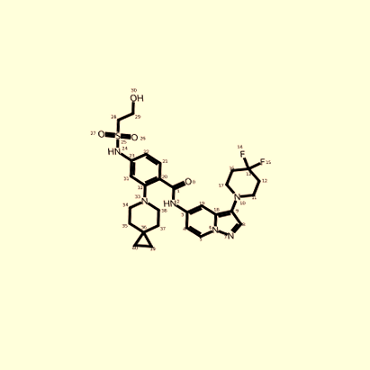 O=C(Nc1ccn2ncc(N3CCC(F)(F)CC3)c2c1)c1ccc(NS(=O)(=O)CCO)cc1N1CCC2(CC1)CC2